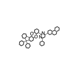 c1ccc(-c2cc(-c3ccc4c(ccc5ccccc54)c3)nc(-c3cccc4c3Oc3ccc5c(c3O4)-c3ccccc3C5(c3ccccc3)c3ccccc3)n2)cc1